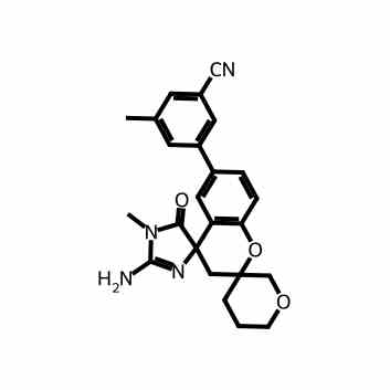 Cc1cc(C#N)cc(-c2ccc3c(c2)C2(CC4(CCCOC4)O3)N=C(N)N(C)C2=O)c1